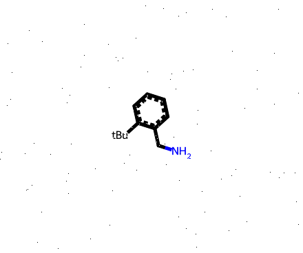 CC(C)(C)c1ccccc1CN